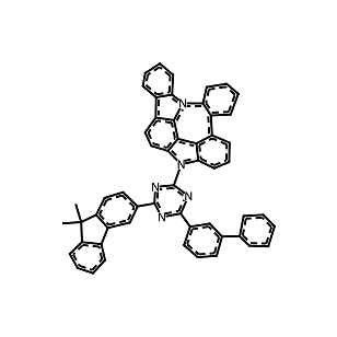 CC1(C)c2ccccc2-c2cc(-c3nc(-c4cccc(-c5ccccc5)c4)nc(-n4c5cccc6c7ccccc7n7c8ccccc8c8ccc4c(c65)c87)n3)ccc21